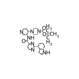 CC(C)(C)OC(=O)N1CCN(c2ccncc2NC(=O)c2ccnc(-c3cccc4[nH]ccc34)n2)CC1